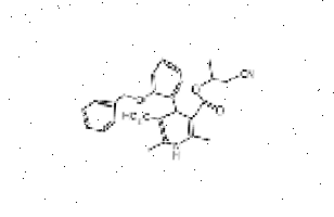 CC1=C(C(=O)O)C(c2ccccc2OCc2ccccc2)C(C(=O)OC(C)CC#N)=C(C)N1